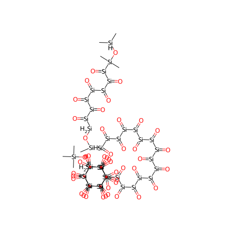 C[SiH](C)O[Si](C)(C)[Si](=O)[Si](=O)[Si](=O)[Si](=O)[Si](=O)[Si](=O)[Si](=O)[SiH2]O[SiH](C)[Si](=O)[Si](=O)[Si](=O)[Si](=O)[Si](=O)[Si](=O)[Si](=O)[Si](=O)[Si](=O)[Si](=O)[Si](=O)[Si](=O)[Si](=O)[Si](=O)[Si](=O)[Si](=O)[Si](=O)[Si](=O)[Si](=O)[Si](=O)[Si](=O)[Si](=O)[Si](=O)[Si](=O)[Si](=O)[Si](=O)[Si](=O)[Si](=O)[Si](=O)[Si](=O)[Si](=O)[Si](=O)[Si](=O)[Si](=O)[Si](=O)[SiH2]O[Si](C)(C)C